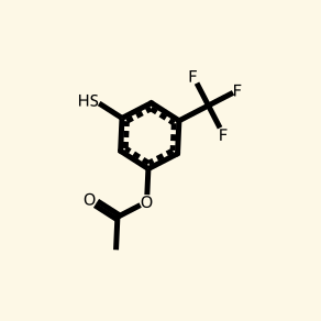 CC(=O)Oc1cc(S)cc(C(F)(F)F)c1